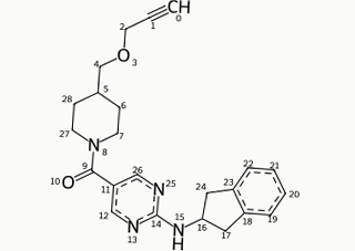 C#CCOCC1CCN(C(=O)c2cnc(NC3Cc4ccccc4C3)nc2)CC1